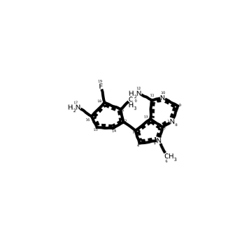 Cc1c(-c2cn(C)c3ncnc(N)c23)ccc(N)c1F